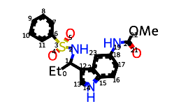 CCC(NS(=O)(=O)c1ccccc1)c1c[nH]c2ccc(NC(=O)OC)cc12